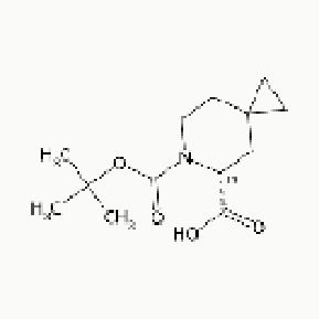 CC(C)(C)OC(=O)N1CCC2(CC2)C[C@@H]1C(=O)O